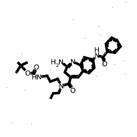 CCCN(CCCNC(=O)OC(C)(C)C)C(=O)C1=Cc2ccc(NC(=O)c3ccccc3)cc2N=C(N)C1